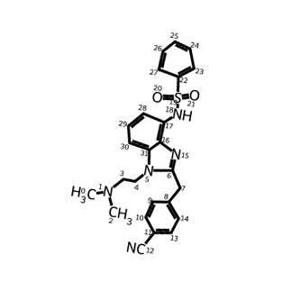 CN(C)CCn1c(Cc2ccc(C#N)cc2)nc2c(NS(=O)(=O)c3ccccc3)cccc21